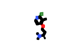 Cc1c(OCC[C@H](C)N(C)C)ccnc1Cl